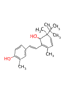 CC1=C(C=Cc2ccc(O)c(C)c2)C(O)C(C)(C(C)(C)C)C=C1